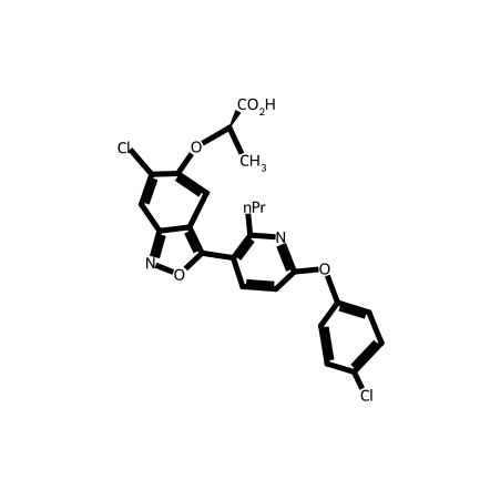 CCCc1nc(Oc2ccc(Cl)cc2)ccc1-c1onc2cc(Cl)c(O[C@H](C)C(=O)O)cc12